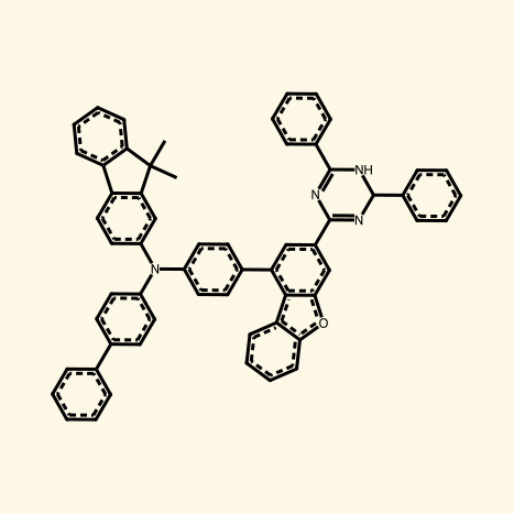 CC1(C)c2ccccc2-c2ccc(N(c3ccc(-c4ccccc4)cc3)c3ccc(-c4cc(C5=NC(c6ccccc6)NC(c6ccccc6)=N5)cc5oc6ccccc6c45)cc3)cc21